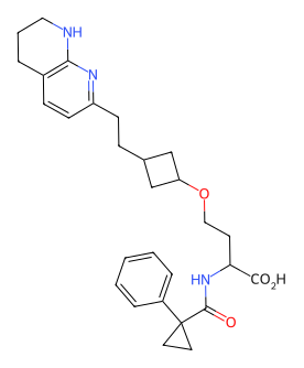 O=C(O)C(CCOC1CC(CCc2ccc3c(n2)NCCC3)C1)NC(=O)C1(c2ccccc2)CC1